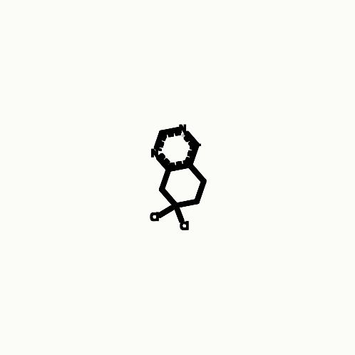 ClC1(Cl)CCc2[c]ncnc2C1